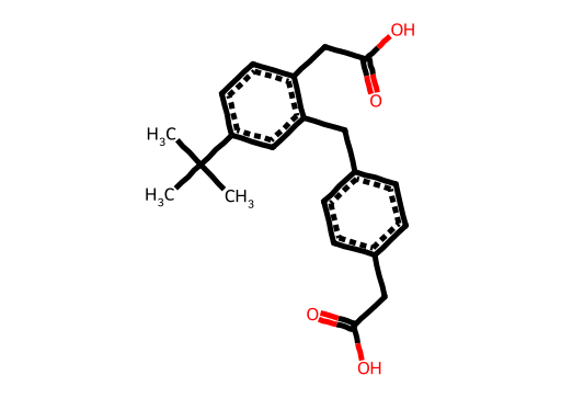 CC(C)(C)c1ccc(CC(=O)O)c(Cc2ccc(CC(=O)O)cc2)c1